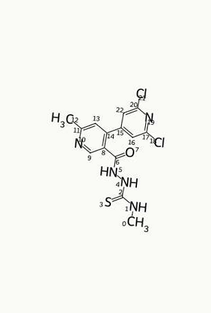 CNC(=S)NNC(=O)c1cnc(C)cc1-c1cc(Cl)nc(Cl)c1